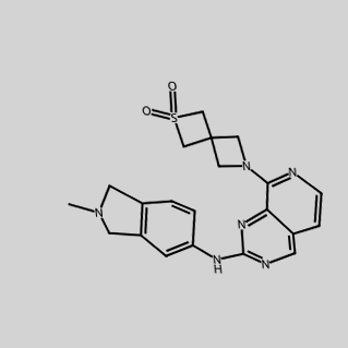 CN1Cc2ccc(Nc3ncc4ccnc(N5CC6(C5)CS(=O)(=O)C6)c4n3)cc2C1